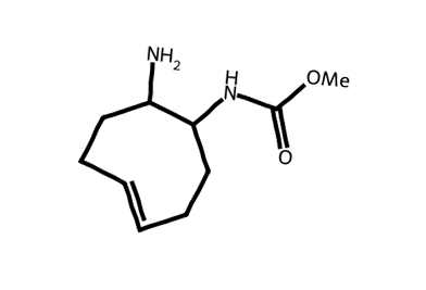 COC(=O)NC1CC/C=C/CCC1N